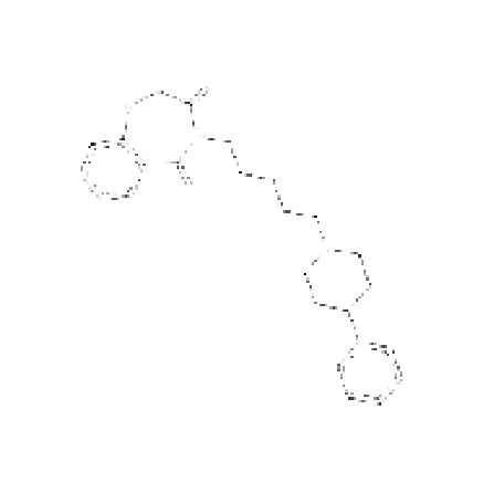 O=C1CNc2ccccc2C(=O)N1CCCCCN1CCC(c2ccccc2)CC1